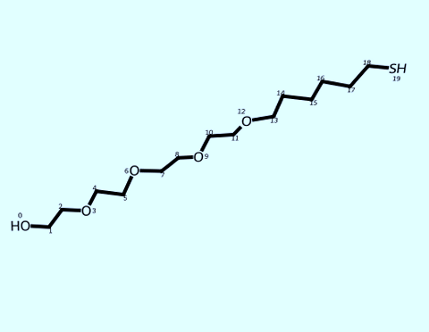 OCCOCCOCCOCCOCCCCCCS